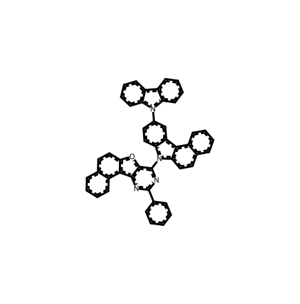 c1ccc(-c2nc(-n3c4ccc(-n5c6ccccc6c6ccccc65)cc4c4c5ccccc5ccc43)c3oc4ccc5ccccc5c4c3n2)cc1